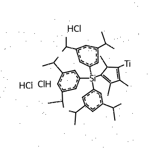 CC1=[C]([Ti])C(C)C([Si](c2cc(C(C)C)cc(C(C)C)c2)(c2cc(C(C)C)cc(C(C)C)c2)c2cc(C(C)C)cc(C(C)C)c2)=C1C.Cl.Cl.Cl